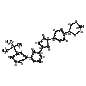 CC(C)(C#N)c1cc(-c2cncc(-c3nnc(-c4ccc(C5CCNCC5)cc4)o3)n2)ccn1